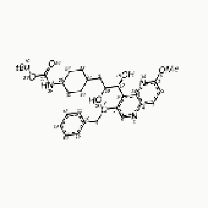 COc1ccc2ncc(OCc3ccccc3)c([C@H](O)C(O)CC3CCC(NC(=O)OC(C)(C)C)CC3)c2n1